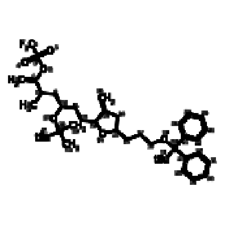 C=C(OS(=O)(=O)C(F)(F)F)C(C)C[C@@H](CCC1OC(CCCO[Si](c2ccccc2)(c2ccccc2)C(C)(C)C)CC1=C)O[Si](C)(C)C(C)(C)C